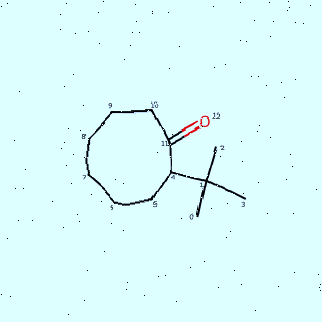 CC(C)(C)C1CCCCCCC1=O